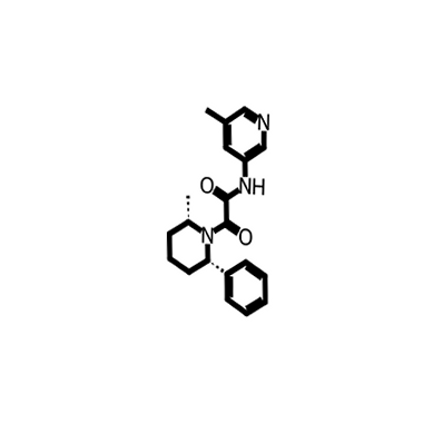 Cc1cncc(NC(=O)C(=O)N2[C@@H](C)CCC[C@H]2c2ccccc2)c1